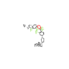 CCCCC1CCC(c2ccc(C(F)(F)Oc3ccc(C(F)(F)F)c(F)c3)c(F)c2)C1